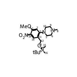 COc1cc(N2CCN(C)CC2)c(CO[Si](C)(C)C(C)(C)C)cc1[N+](=O)[O-]